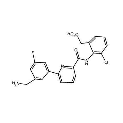 NCc1cc(F)cc(-c2cccc(C(=O)Nc3c(Cl)cccc3CC(=O)O)n2)c1